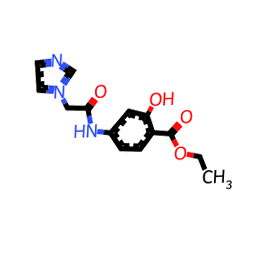 CCOC(=O)c1ccc(NC(=O)Cn2ccnc2)cc1O